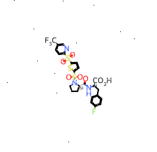 O=C(O)[C@H](Cc1ccc(F)cc1)NC(=O)[C@@H]1CCCN1S(=O)(=O)c1ccc(S(=O)(=O)c2ccc(C(F)(F)F)cn2)s1